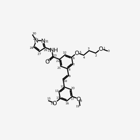 COCCCOc1cc(/C=C/c2cc(OC)cc(OC)c2)cc(C(=O)Nc2ccn(C)n2)c1